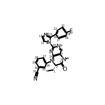 CC[C@H]1C(=O)N(C)c2cnc(-n3ccnc3-c3ccc(F)cc3)nc2N1c1cccc(C#N)c1